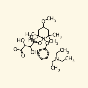 CCN(CC)CC.COC1CC(C)(C)[N+](OC(=O)C(O)C(O)C(=O)[O-])(Oc2ccccc2)C(C)(C)C1